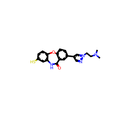 CN(C)CCn1cc(-c2ccc3c(c2)C(=O)Nc2cc(S)ccc2O3)cn1